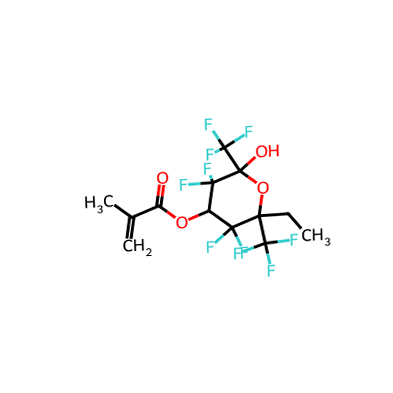 C=C(C)C(=O)OC1C(F)(F)C(O)(C(F)(F)F)OC(CC)(C(F)(F)F)C1(F)F